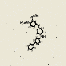 CCCCOc1cc(CN2CCC(Nc3cnc(-c4ccccc4)nc3)CC2)ccc1OC